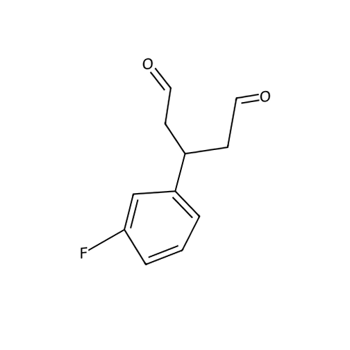 O=CCC(CC=O)c1cccc(F)c1